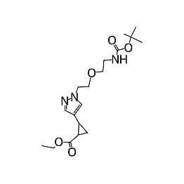 CCOC(=O)C1CC1c1cnn(CCOCCNC(=O)OC(C)(C)C)c1